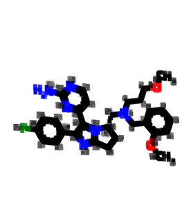 COCCCN(Cc1ccccc1OC)C[C@@H]1CCc2nc(-c3ccc(F)cc3)c(-c3ccnc(N)n3)n21